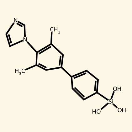 Cc1cc(-c2ccc([Si](O)(O)O)cc2)cc(C)c1-n1ccnc1